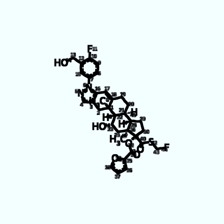 CC12Cc3cnn(-c4ccc(F)c(CO)c4)c3C=C1CC[C@@H]1[C@@H]2[C@@H](O)C[C@@]2(C)[C@H]1CC[C@]2(OC(=O)c1ccco1)C(=O)SCF